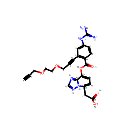 C#CCOCCOCC#Cc1cc(NC(=N)N)ccc1C(=O)Oc1ccc(CC(=O)O)n2ncnc12